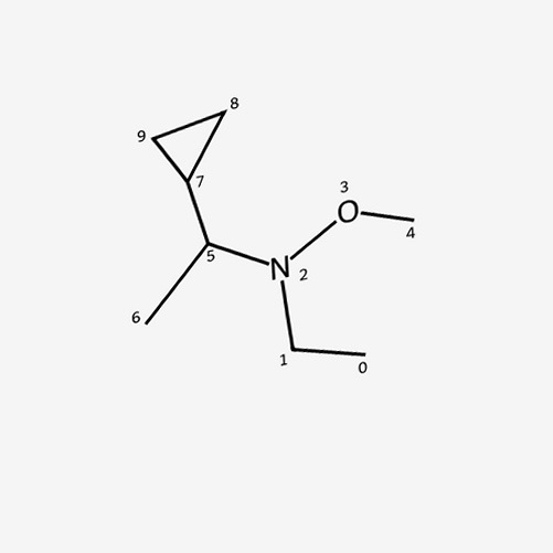 CCN(OC)C(C)C1CC1